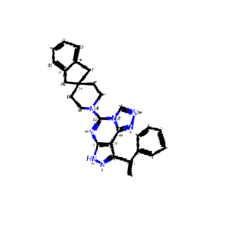 C=C(c1ccccc1)c1n[nH]c2nc(N3CCC4(CC3)Cc3ccccc3C4)n3cnnc3c12